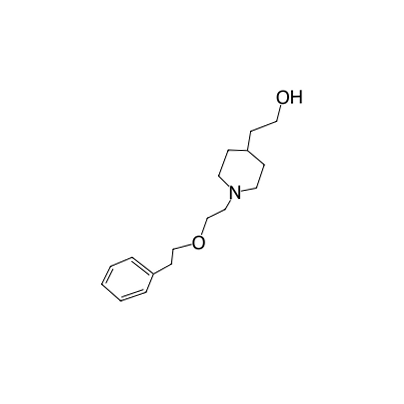 OCCC1CCN(CCOCCc2ccccc2)CC1